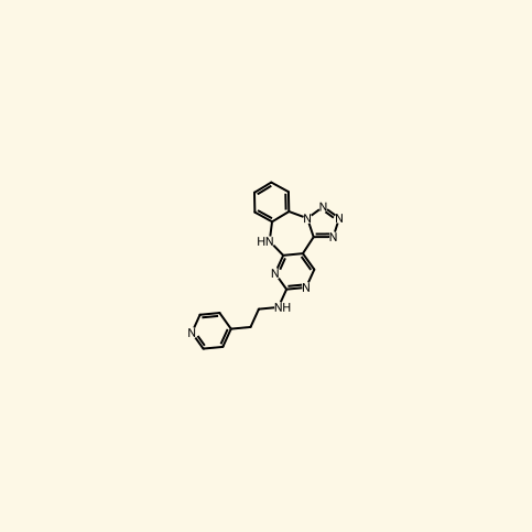 c1ccc2c(c1)Nc1nc(NCCc3ccncc3)ncc1-c1nnnn1-2